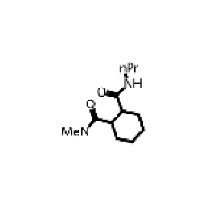 CCCNC(=O)C1CCCCC1C(=O)NC